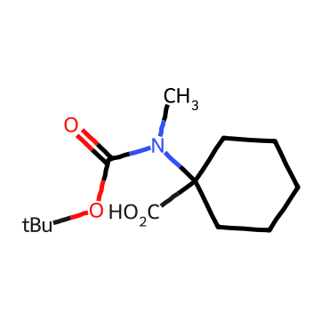 CN(C(=O)OC(C)(C)C)C1(C(=O)O)CCCCC1